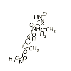 Cc1ncoc1COc1ccc2c(c1C)CCN(C[C@@H](O)CNC(=O)c1cc(CC(C)C)nc(NC3CCC3)c1)C2